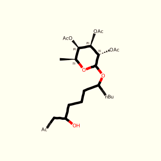 CCCCC(CCCC(O)CC(C)=O)OC1O[C@@H](C)[C@@H](OC(C)=O)[C@@H](OC(C)=O)[C@@H]1OC(C)=O